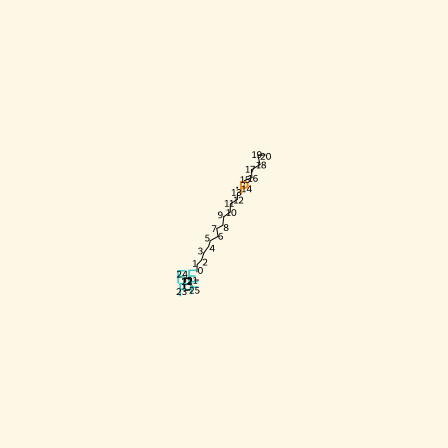 CCCCCCCCCCCCCC[P]CCCCCC.F[B-](F)(F)F